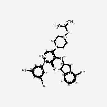 CC(C)SN1CCN(c2cnn(-c3cc(F)cc(F)c3)c(=O)c2OC2Cc3cccc(F)c3C2)CC1